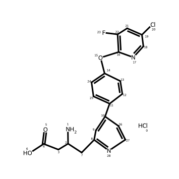 Cl.NC(CC(=O)O)Cc1cc(-c2ccc(Oc3ncc(Cl)cc3F)cc2)ccn1